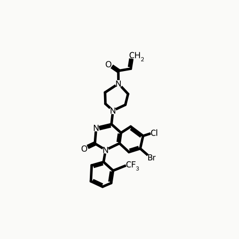 C=CC(=O)N1CCN(c2nc(=O)n(-c3ccccc3C(F)(F)F)c3cc(Br)c(Cl)cc23)CC1